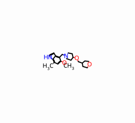 COc1cc(C)c2[nH]ccc2c1CN1CCC(OCC2CCOCC2)CC1